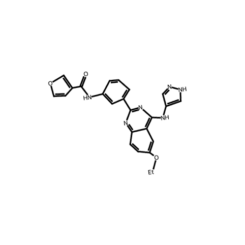 CCOc1ccc2nc(-c3cccc(NC(=O)c4ccoc4)c3)nc(Nc3cn[nH]c3)c2c1